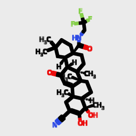 CC1(C)CC[C@]2(C(=O)NCC(F)(F)F)CC[C@]3(C)[C@H](C(=O)C=C4[C@@]5(C)CC(C#N)=C(O)[C@@](C)(O)[C@@H]5CC[C@]43C)[C@@H]2C1